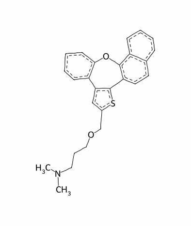 CN(C)CCCOCc1cc2c(s1)-c1ccc3ccccc3c1Oc1ccccc1-2